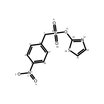 O=[N+]([O-])c1ccc(CS(=O)(=O)Oc2nccs2)cc1